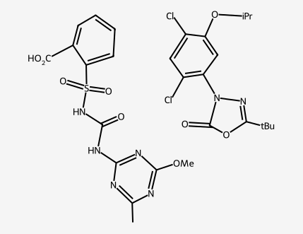 CC(C)Oc1cc(-n2nc(C(C)(C)C)oc2=O)c(Cl)cc1Cl.COc1nc(C)nc(NC(=O)NS(=O)(=O)c2ccccc2C(=O)O)n1